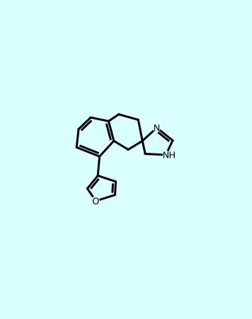 C1=NC2(CCc3cccc(-c4ccoc4)c3C2)CN1